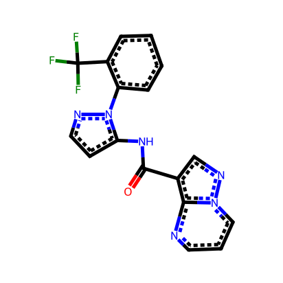 O=C(Nc1ccnn1-c1ccccc1C(F)(F)F)c1cnn2cccnc12